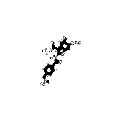 CC(=O)Oc1cc2sc(NC(=O)c3ccc(CN(C)C(C)=O)cc3)c(C(N)=O)c2cc1Br